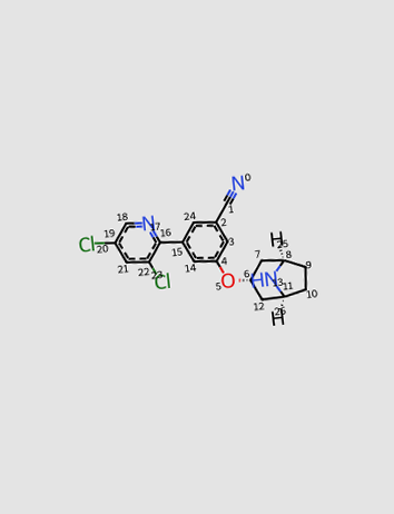 N#Cc1cc(O[C@@H]2C[C@H]3CC[C@@H](C2)N3)cc(-c2ncc(Cl)cc2Cl)c1